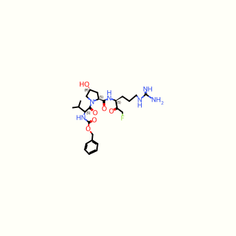 CC(C)[C@H](NC(=O)OCc1ccccc1)C(=O)N1C[C@H](O)C[C@H]1C(=O)N[C@@H](CCCNC(=N)N)C(=O)CF